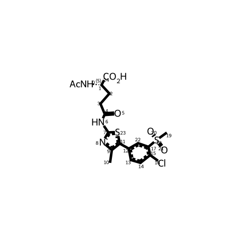 CC(=O)N[C@@H](CCC(=O)Nc1nc(C)c(-c2ccc(Cl)c(S(C)(=O)=O)c2)s1)C(=O)O